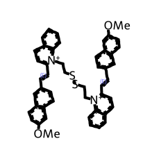 COc1ccc2cc(/C=C/c3ccc4ccccc4[n+]3CCSSCC[n+]3c(/C=C/c4ccc5cc(OC)ccc5c4)ccc4ccccc43)ccc2c1